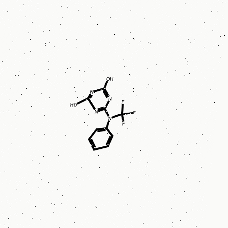 Oc1nc(O)nc(N(c2ccccc2)C(F)(F)F)n1